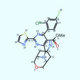 COC(=O)c1c(CN2C3COCC2CC(N)C3)nc(-c2nccs2)nc1-c1ccc(F)cc1Cl